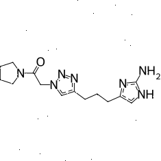 Nc1nc(CCCc2cn(CC(=O)N3CCCC3)nn2)c[nH]1